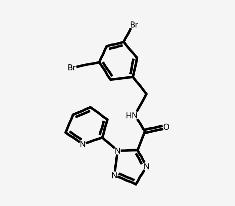 O=C(NCc1cc(Br)cc(Br)c1)c1ncnn1-c1ccccn1